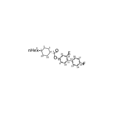 CCCCCC[C@H]1CC[C@H](C(=O)Oc2ccc(-c3ccc(F)cc3)c(F)c2)CC1